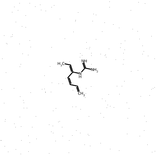 C=C/C=C\C(=C/C)NC(=N)N